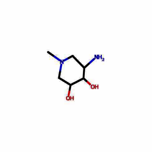 CN1CC(N)C(O)C(O)C1